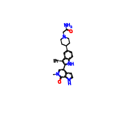 CC(C)c1c(-c2cn(C)c(=O)c3[nH]ccc23)[nH]c2ccc(C3CCN(CC(N)=O)CC3)cc12